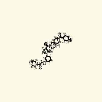 O=C(COc1cccc(-n2ncc3c(=O)n(CC4(O)CCN(C(=O)c5ccc(F)cc5)CC4)cnc32)c1)N1CCOCC1